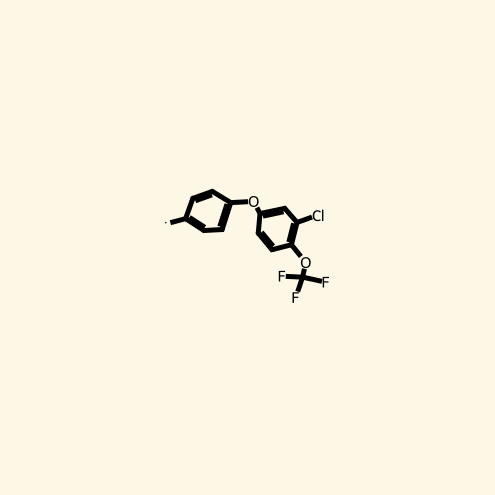 [CH2]c1ccc(Oc2ccc(OC(F)(F)F)c(Cl)c2)cc1